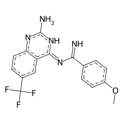 COc1ccc(C(=N)/N=c2\[nH]c(N)nc3ccc(C(F)(F)F)cc23)cc1